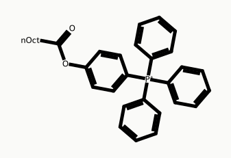 CCCCCCCCC(=O)Oc1ccc([P+](c2ccccc2)(c2ccccc2)c2ccccc2)cc1